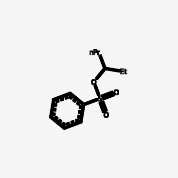 CCCC(CC)OS(=O)(=O)c1ccccc1